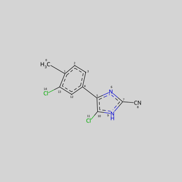 Cc1ccc(-c2nc(C#N)[nH]c2Cl)cc1Cl